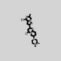 CCc1nc(C)cn2nc(-c3cc(=O)n4cc(N5CCN(C)[C@H](C)C5)ccc4n3)cc12